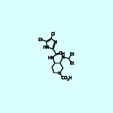 CCc1[nH]c(C(=O)NC2CCN(C(=O)O)CC2NC(CC)CC)nc1Cl